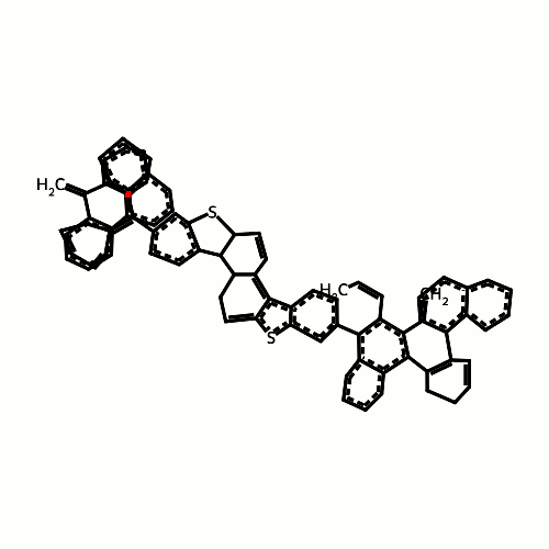 C=Cc1c(/C=C\C)c(-c2ccc3c4c(sc3c2)=CCC2C=4C=CC3Sc4cc(/C(=C5\C=CC=CC5)c5ccccc5C(=C)c5ccccc5-c5cccc6ccccc56)ccc4C32)c2ccccc2c1C1=C(c2cccc3ccccc23)C=CCC1